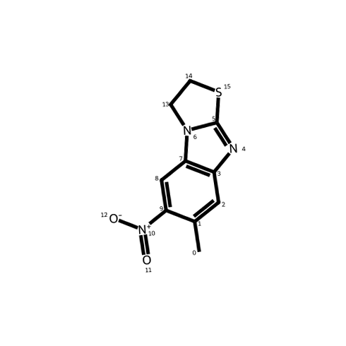 Cc1cc2nc3n(c2cc1[N+](=O)[O-])CCS3